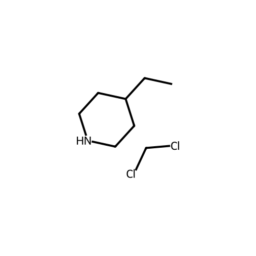 CCC1CCNCC1.ClCCl